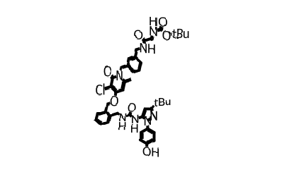 Cc1cc(OCc2ccccc2CNC(=O)Nc2cc(C(C)(C)C)nn2-c2ccc(O)cc2)c(Cl)c(=O)n1Cc1cccc(CNC(=O)CNC(=O)OC(C)(C)C)c1